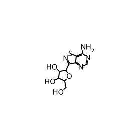 Nc1ncnc2c(C3OC(CO)C(O)C3O)nsc12